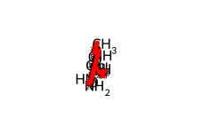 CCc1ccc(NC(=O)OCCC(=O)N(CCCCNC(=O)CN)NCc2ccccc2Cl)cc1